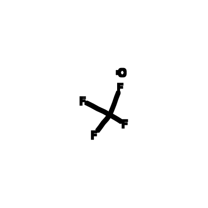 FC(F)(F)F.[O]